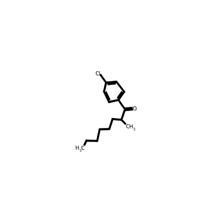 CCCCCCC(C)C(=O)c1ccc(Cl)cc1